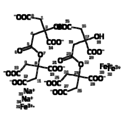 O=C([O-])CC(O)(CC(=O)OC(CC(=O)[O-])(CC(=O)[O-])C(=O)[O-])C(=O)[O-].O=C([O-])CC(O)(CC(=O)OC(CC(=O)[O-])(CC(=O)[O-])C(=O)[O-])C(=O)[O-].[Fe+2].[Fe+3].[Fe+3].[Na+].[Na+]